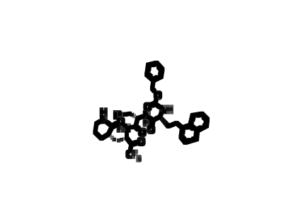 CC(C)C[C@H](NC(=O)[C@H](CCc1cccc2ccccc12)NC(=O)OCc1ccccc1)C(=O)N[C@@H](C[C@@H]1CCCNC1=O)C(=O)C(F)(F)F